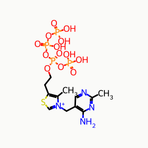 Cc1ncc(C[n+]2csc(CCOP(=O)(OP(=O)(O)O)OP(=O)(O)OP(=O)(O)O)c2C)c(N)n1